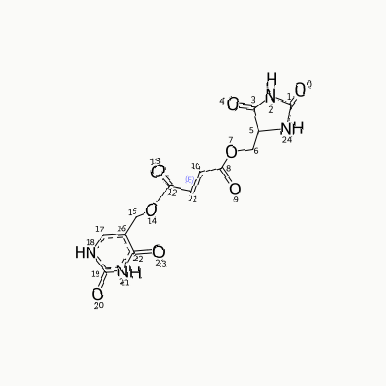 O=C1NC(=O)C(COC(=O)/C=C/C(=O)OCc2c[nH]c(=O)[nH]c2=O)N1